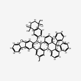 Cc1cc2c3c(c1)N1c4ccccc4C(c4ccccc4)(c4ccccc4)c4cccc(c41)B3N(c1ccc3c(c1)C(C)(C)CCC3(C)C)c1cc3oc4ccccc4c3cc1-2